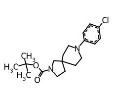 CC(C)(C)OC(=O)N1CCC2(CCN(c3ccc(Cl)cc3)CC2)C1